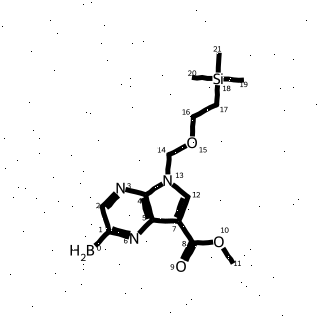 Bc1cnc2c(n1)c(C(=O)OC)cn2COCC[Si](C)(C)C